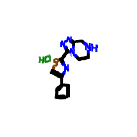 Cl.c1ccc(-c2csc(-c3nnc4n3CCNC4)n2)cc1